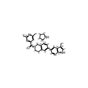 Cc1cc(C(=O)N2CCc3cc(-c4cnc5[nH]cc(C)c5c4)cc([C@@H]4CCCN4)c3C2)nc(C)n1